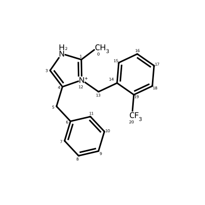 Cc1[nH]cc(Cc2ccccc2)[n+]1Cc1ccccc1C(F)(F)F